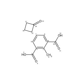 Cc1c(C(=O)O)cccc1C(=O)O.O=C1CCC1